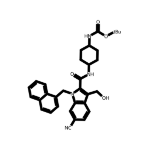 CC(C)(C)OC(=O)NC1CCC(NC(=O)c2c(CO)c3ccc(C#N)cc3n2Cc2cccc3ccccc23)CC1